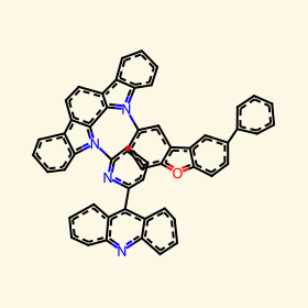 c1ccc(-c2ccc3oc4ccc(-n5c6ccccc6c6ccc7c8ccccc8n(-c8cccc(-c9c%10ccccc%10nc%10ccccc9%10)n8)c7c65)cc4c3c2)cc1